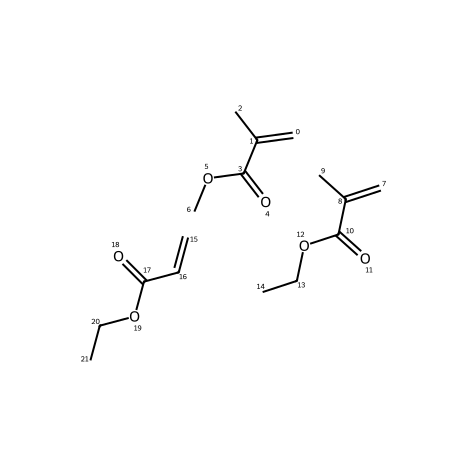 C=C(C)C(=O)OC.C=C(C)C(=O)OCC.C=CC(=O)OCC